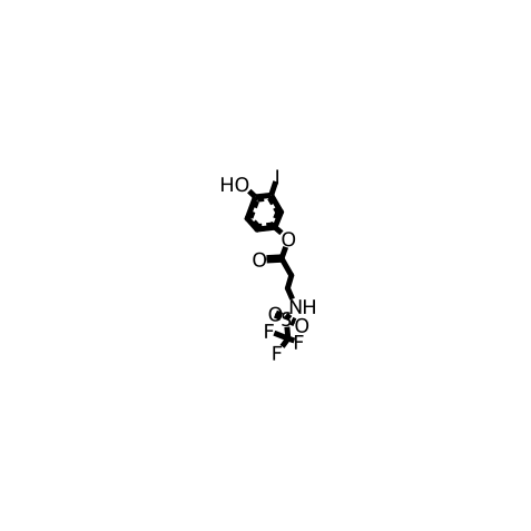 O=C(CCNS(=O)(=O)C(F)(F)F)Oc1ccc(O)c(I)c1